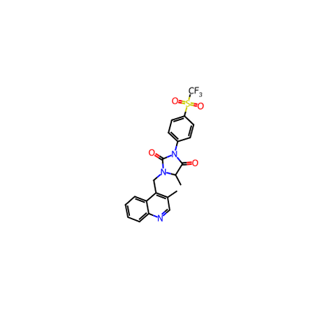 Cc1cnc2ccccc2c1CN1C(=O)N(c2ccc(S(=O)(=O)C(F)(F)F)cc2)C(=O)C1C